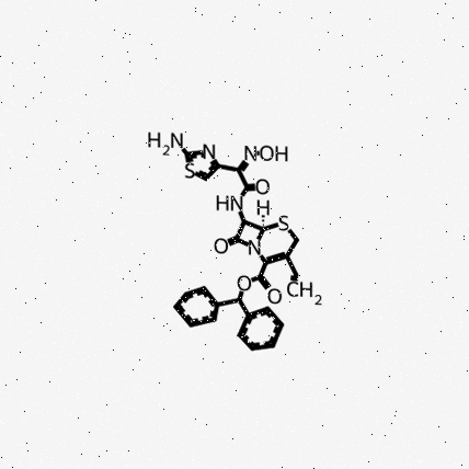 C=CC1=C(C(=O)OC(c2ccccc2)c2ccccc2)N2C(=O)C(NC(=O)/C(=N\O)c3csc(N)n3)[C@H]2SC1